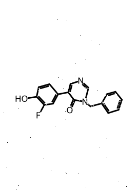 O=c1c(-c2ccc(O)c(F)c2)cncn1Cc1ccccc1